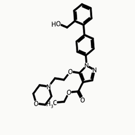 CCOC(=O)c1cnn(-c2ccc(-c3ccccc3CO)cc2)c1OCCN1CCOCC1